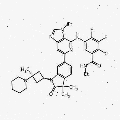 CCNC(=O)c1cc(Nc2nc(-c3ccc4c(c3)N([C@H]3C[C@@](C)(N5CCCCC5)C3)C(=O)C4(C)C)cc3ncn(C(C)C)c23)c(F)c(F)c1Cl